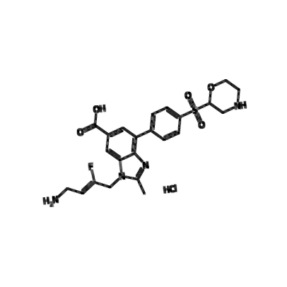 Cc1nc2c(-c3ccc(S(=O)(=O)C4CNCCO4)cc3)cc(C(=O)O)cc2n1C/C(F)=C/CN.Cl